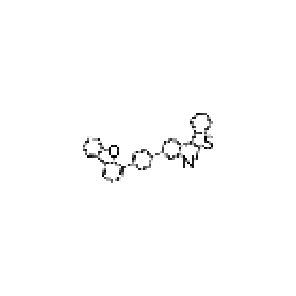 c1ccc2c(c1)oc1c(-c3ccc(-c4ccc5c(c4)ncc4sc6ccccc6c45)cc3)cccc12